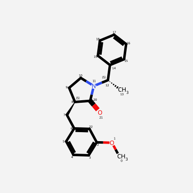 COc1cccc(C[C@H]2CCN([C@@H](C)c3ccccc3)C2=O)c1